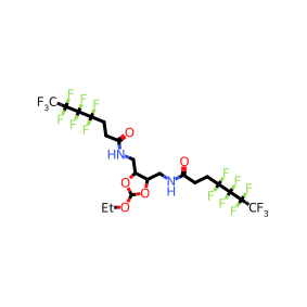 CCOC1OC(CNC(=O)CCC(F)(F)C(F)(F)C(F)(F)C(F)(F)F)C(CNC(=O)CCC(F)(F)C(F)(F)C(F)(F)C(F)(F)F)O1